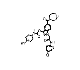 CC(C)N1CCC(NC(=O)Oc2nn(CC(=O)Nc3ccc(Cl)cn3)c3ccc(C(=O)N4CCCOCC4)cc23)CC1